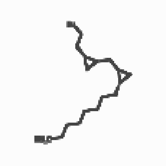 CCC(C)CC[C@@H]1C[C@@H]1CC1C[C@H]1CCCCCCCC(=O)O